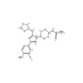 N#Cc1ccc(-c2cc(OC3CCOC3)n(C3CCC(OC(N)=O)CC3)n2)cc1F